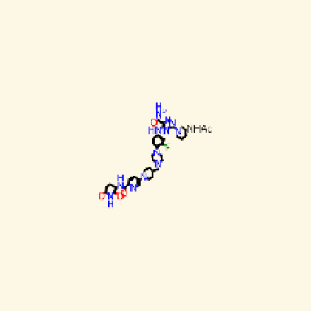 CC(=O)NC1CCCN(c2nnc(C(N)=O)c(Nc3ccc(N4CCN(CC5CCN(c6ccc(C(=O)NC7CCC(=O)NC7=O)nc6)CC5)CC4)c(F)c3)n2)C1